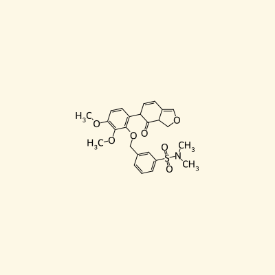 COc1ccc(C2C=CC3=COCC3C2=O)c(OCc2cccc(S(=O)(=O)N(C)C)c2)c1OC